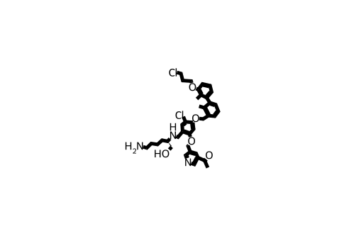 CC(=O)c1cncc(COc2cc(OCc3cccc(-c4cccc(OCCCCl)c4C)c3C)c(Cl)cc2CN[C@H](CO)CCCCN)c1